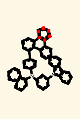 c1ccc(-c2ccccc2-c2c(-c3ccccc3)cccc2-c2ccc(N(c3cccc(-n4c5ccccc5c5ccccc54)c3)c3cccc4ccccc34)cc2)cc1